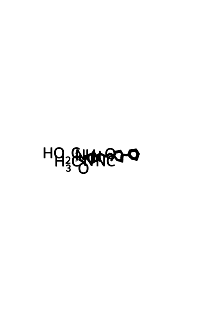 C[C@H](NC(=O)O)C(=O)N1CCN(CCOC2(C#N)C=CC(c3ccccc3)=CC2)CC1